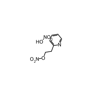 O=[N+]([O-])O.O=[N+]([O-])OCCc1ccccn1